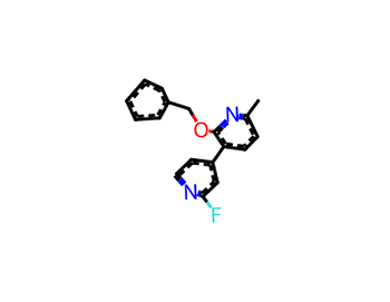 Cc1ccc(-c2ccnc(F)c2)c(OCc2ccccc2)n1